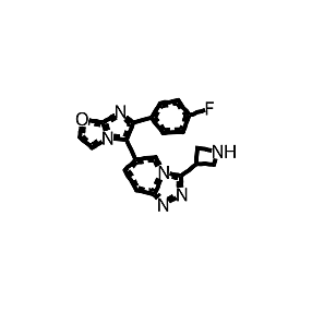 Fc1ccc(-c2nc3occn3c2-c2ccc3nnc(C4CNC4)n3c2)cc1